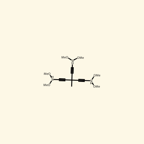 CO[SiH](C#CC(C)(C#C[SiH](OC)OC)C#C[SiH](OC)OC)OC